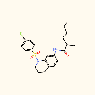 CCCCC(C)C(=O)Nc1ccc2c(c1)N(S(=O)(=O)c1ccc(F)cc1)CCC2